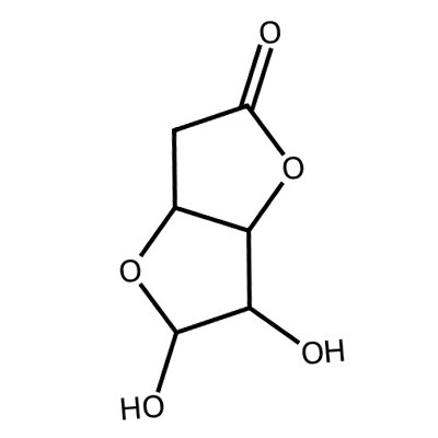 O=C1CC2OC(O)C(O)C2O1